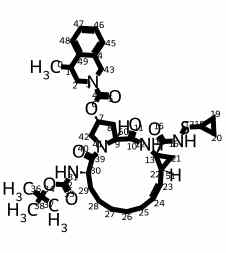 CC1CN(C(=O)O[C@@H]2C[C@H]3C(=O)N[C@]4(C(=O)NSC5CC5)C[C@H]4/C=C\CCCCC[C@H](NC(=O)OC(C)(C)C)C(=O)N3C2)Cc2ccccc21